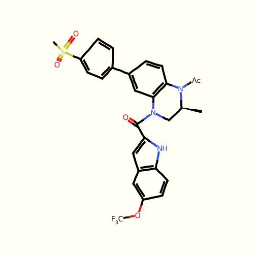 CC(=O)N1c2ccc(-c3ccc(S(C)(=O)=O)cc3)cc2N(C(=O)c2cc3cc(OC(F)(F)F)ccc3[nH]2)C[C@@H]1C